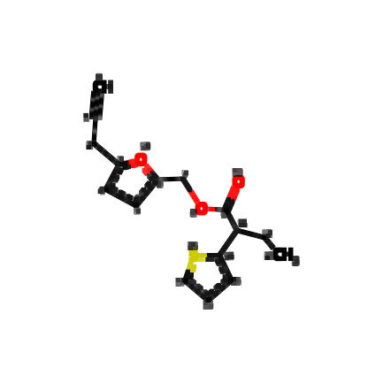 C#CCc1ccc(COC(=O)C(CC)c2cccs2)o1